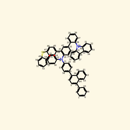 c1ccc(-c2ccc(-c3ccc(N(c4ccccc4)c4ccc(-c5ccccc5-n5c6ccccc6c6ccccc65)cc4-c4ccc5sc6ccccc6c5c4)cc3)c3ccccc23)cc1